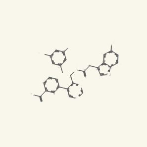 NC(=O)c1cccc(-c2cncnc2[C@H](Cc2cc(F)cc(F)c2)NC(=O)Cc2c[nH]c3ccc(O)cc23)c1